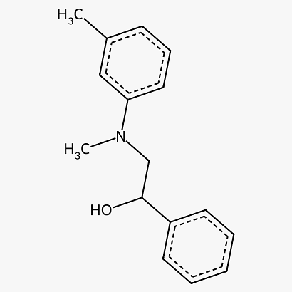 Cc1cccc(N(C)CC(O)c2ccccc2)c1